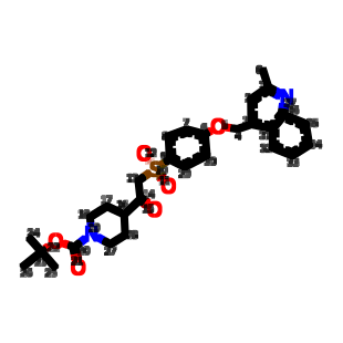 Cc1cc(COc2ccc(S(=O)(=O)CC(=O)C3CCN(C(=O)OC(C)(C)C)CC3)cc2)c2ccccc2n1